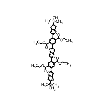 CCOC(=O)c1cc(-c2cc3sc([Si](C)(C)C)cc3s2)c(C(=O)OCC)cc1-c1cc2sc(-c3cc(C(=O)OCC)c(-c4cc5sc([Si](C)(C)C)cc5s4)cc3C(=O)OCC)cc2s1